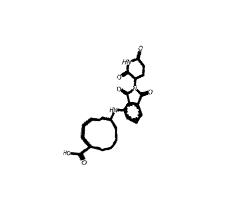 O=C1CCC(N2C(=O)c3cccc(NC4CCCCC(C(=O)O)CCCC4)c3C2=O)C(=O)N1